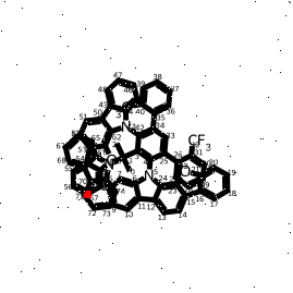 CC(C)(c1c(-n2c3ccccc3c3ccc4c5ccccc5oc4c32)c(-c2ccccc2C(F)(F)F)cc(-c2ccccc2C(F)(F)F)c1-n1c2ccccc2c2ccc3c4ccccc4oc3c21)n1c2ccccc2c2ccccc21